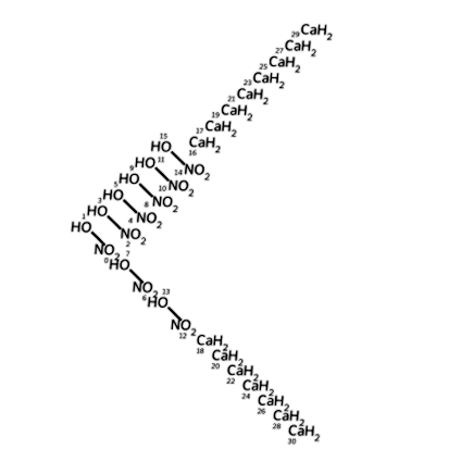 O=[N+]([O-])O.O=[N+]([O-])O.O=[N+]([O-])O.O=[N+]([O-])O.O=[N+]([O-])O.O=[N+]([O-])O.O=[N+]([O-])O.O=[N+]([O-])O.[CaH2].[CaH2].[CaH2].[CaH2].[CaH2].[CaH2].[CaH2].[CaH2].[CaH2].[CaH2].[CaH2].[CaH2].[CaH2].[CaH2].[CaH2]